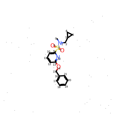 CN(CC1CC1)S(=O)(=O)c1cccc(OCc2ccccc2)n1